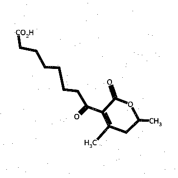 CC1=C(C(=O)CCCCCCC(=O)O)C(=O)OC(C)C1